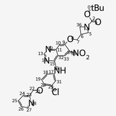 CC(C)(C)OC(=O)N1CC(COc2cc3ncnc(Nc4ccc(OCc5ccccn5)c(Cl)c4)c3cc2[N+](=O)[O-])C1